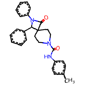 Cc1ccc(NC(=O)N2CCC3(CC2)C(=O)N(c2ccccc2)C3c2ccccc2)cc1